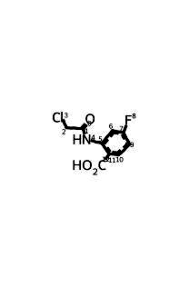 O=C(CCl)Nc1cc(F)ccc1C(=O)O